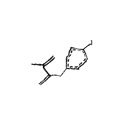 C=C(C)C(=C)Cc1ccc(I)cc1